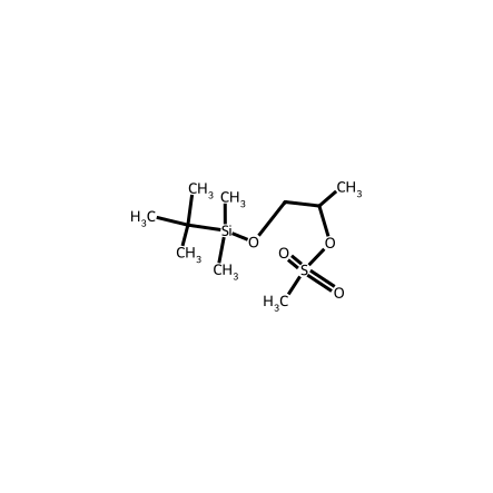 CC(CO[Si](C)(C)C(C)(C)C)OS(C)(=O)=O